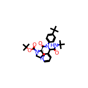 CC(C)(C)NC(=O)C(c1cccnc1)N(C(=O)[C@H]1CCCN1C(=O)OC(C)(C)C)c1ccc(C(C)(C)C)cc1